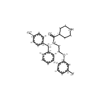 O=C(C1CCNCC1)N(CCOc1cccc(F)c1)[C@@H](c1ccc(Cl)cc1)c1ccccn1